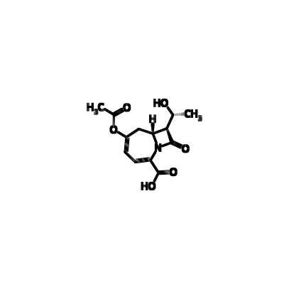 CC(=O)OC1=CC=C(C(=O)O)N2C(=O)[C@H]([C@@H](C)O)[C@H]2C1